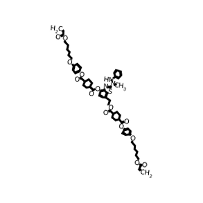 C=CC(=O)OCCCCCCOc1ccc(OC(=O)C2CCC(C(=O)OCCc3ccc(OC(=O)C4CCC(C(=O)Oc5ccc(OCCCCCCOC(=O)C=C)cc5)CC4)c4nc(N(C)Nc5ccccc5)sc34)CC2)cc1